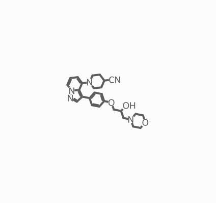 N#CC1CCN(c2cccn3ncc(-c4ccc(OCC(O)CN5CCOCC5)cc4)c23)CC1